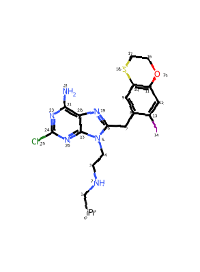 CC(C)CNCCn1c(Cc2cc3c(cc2I)OCCS3)nc2c(N)nc(Cl)nc21